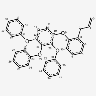 C=CCc1ccccc1Op1npn(Oc2ccccc2)p(Oc2ccccc2)n1Oc1ccccc1